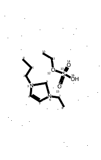 CCCN1C=CN(CC)C1.CCOS(=O)(=O)O